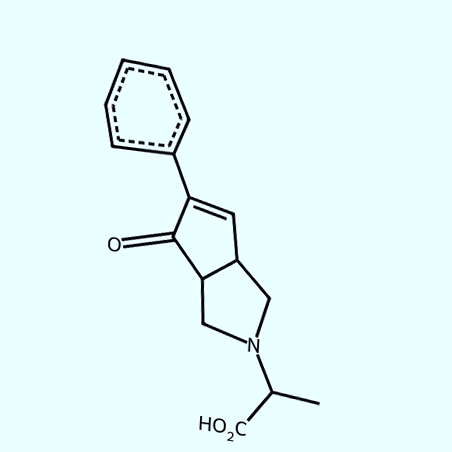 CC(C(=O)O)N1CC2C=C(c3ccccc3)C(=O)C2C1